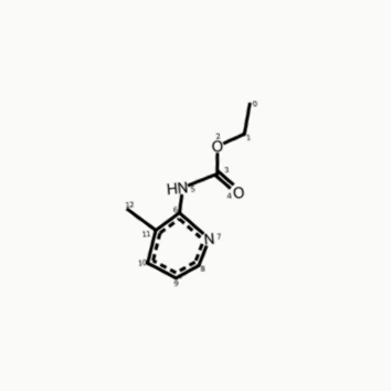 CCOC(=O)Nc1nc[c]cc1C